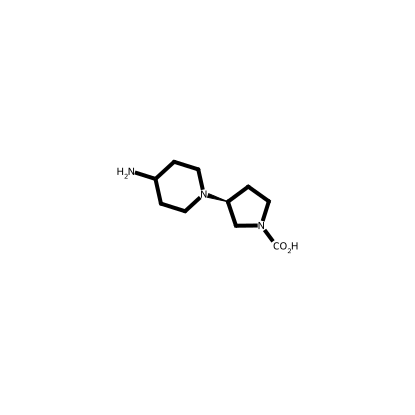 NC1CCN([C@H]2CCN(C(=O)O)C2)CC1